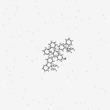 CC1(C)c2ccccc2-c2ccc(-c3c4ccc(F)cc4c(-c4ccc5c(c4)C(C)(C)c4ccccc4-5)c4c5ccccc5c5ccccc5c34)cc21